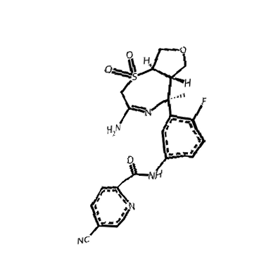 C[C@]1(c2cc(NC(=O)c3ccc(C#N)cn3)ccc2F)N=C(N)CS(=O)(=O)[C@H]2COC[C@@H]21